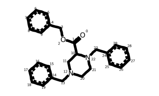 O=C(OCc1ccccc1)C1CN(Cc2ccccc2)CCN1Cc1ccccc1